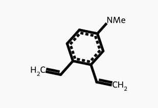 C=Cc1ccc(NC)cc1C=C